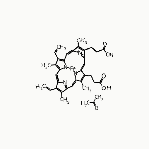 C=CC1=C(C)C2=NC/1=C\c1c(C)c(C=C)c3[n]1[Fe][n]1/c(c(C)c(CCC(=O)O)/c1=C/C1=NC(=C\3)/C(C)=C1CCC(=O)O)=C\2.CC(C)=O